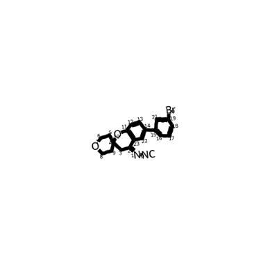 [C-]#[N+]/N=C1/CC2(CCOCC2)Oc2ccc(-c3cccc(Br)c3)cc21